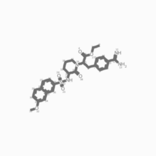 CCOC(=O)C(Cc1ccc(C(=N)N)cc1)N1CCCC(NS(=O)(=O)c2ccc3ccc(OC)cc3c2)C1=O